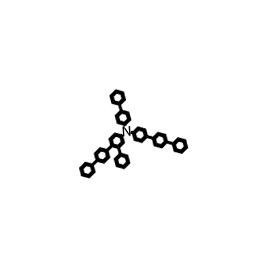 c1ccc(-c2ccc(-c3ccc(N(c4ccc(-c5ccccc5)cc4)c4ccc(-c5ccc(-c6ccccc6)cc5)c(-c5ccccc5)c4)cc3)cc2)cc1